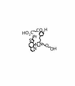 CC(C)c1cc2c(s1)CC=c1cccnc1=C2N1CCN(CCOCCO)C(CCc2ccccc2)C1.O=C(O)CCC(=O)O